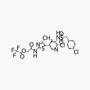 Cc1nc(NC(=O)COC(=O)C(F)(F)F)sc1-c1cnc(Cl)c(NS(=O)(=O)Cc2ccc(Cl)cc2)c1